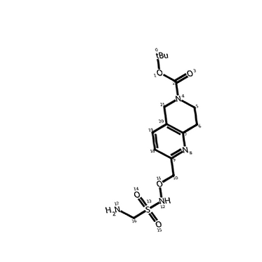 CC(C)(C)OC(=O)N1CCc2nc(CONS(=O)(=O)CN)ccc2C1